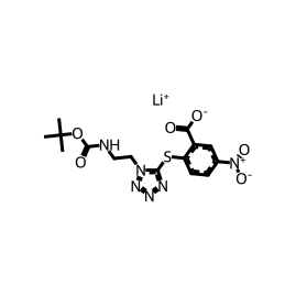 CC(C)(C)OC(=O)NCCn1nnnc1Sc1ccc([N+](=O)[O-])cc1C(=O)[O-].[Li+]